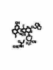 C#Cc1c(F)ccc2cc(O)cc(-c3ncc4c(N5CC[C@@](C)(C#N)C[C@H](C=CC(=O)NC=O)C5)nc(OCC56CCCN5CCC6)nc4c3F)c12